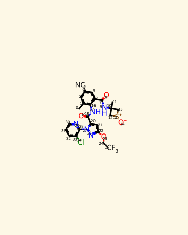 Cc1cc(C#N)cc(C(=O)NC2(C)C[S+]([O-])C2)c1NC(=O)c1cc(OCC(F)(F)F)nn1-c1ncccc1Cl